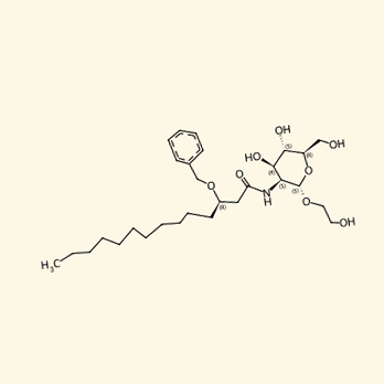 CCCCCCCCCCC[C@H](CC(=O)N[C@@H]1[C@@H](OCCO)O[C@H](CO)[C@@H](O)[C@@H]1O)OCc1ccccc1